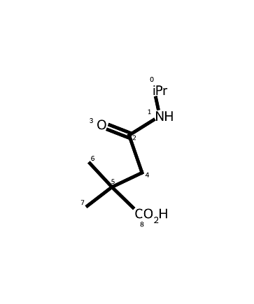 CC(C)NC(=O)CC(C)(C)C(=O)O